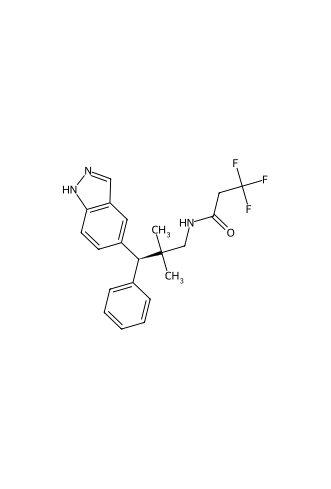 CC(C)(CNC(=O)CC(F)(F)F)[C@@H](c1ccccc1)c1ccc2[nH]ncc2c1